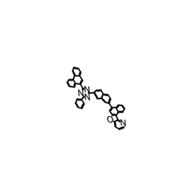 c1ccc(-c2nc(-c3ccc4ccc(-c5cc6oc7cccnc7c6c6ccccc56)cc4c3)nc(-c3cc4ccccc4c4ccccc34)n2)cc1